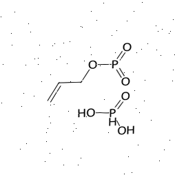 C=CCOP(=O)=O.O=[PH](O)O